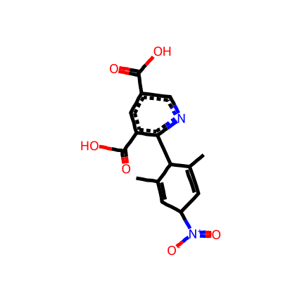 CC1=CC([N+](=O)[O-])C=C(C)C1c1ncc(C(=O)O)cc1C(=O)O